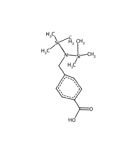 C[Si](C)(C)N(Cc1ccc(C(=O)O)cc1)[Si](C)(C)C